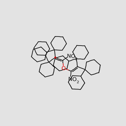 O=[N+]([O-])C(OC(=C(C1(C2CCCCC2)CCCCC1)C1(C2CCCCC2)CCCCC1)[N+](=O)[O-])=C(C1(C2CCCCC2)CCCCC1)C1(C2CCCCC2)CCCCC1